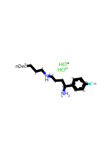 CCCCCCCCCCCCCNCCCC(N)c1ccc(F)cc1.Cl.Cl